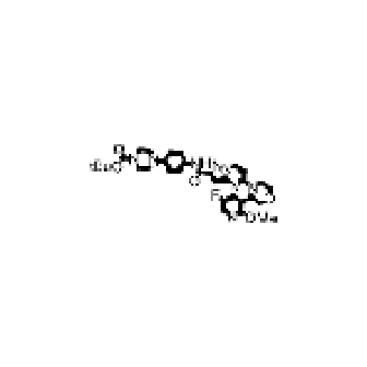 COc1ncc(F)cc1C1COCCN1c1ccn2nc(C(=O)Nc3ccc(N4CCN(C(=O)OC(C)(C)C)CC4)cc3)cc2n1